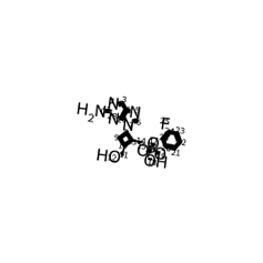 Nc1ncc2ncn([C@@H]3C[C@H](CO)[C@@H]3COP(=O)(O)Oc3cccc(F)c3)c2n1